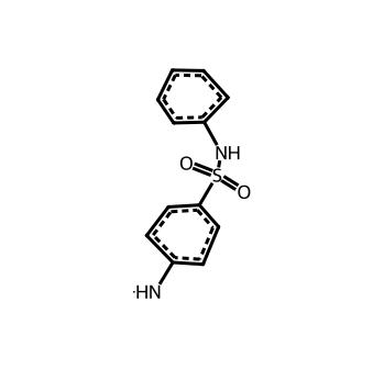 [NH]c1ccc(S(=O)(=O)Nc2ccccc2)cc1